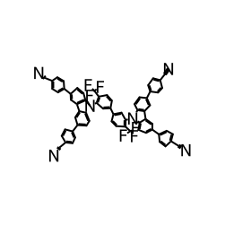 N#Cc1ccc(-c2ccc3c(c2)c2cc(-c4ccc(C#N)cc4)ccc2n3-c2cc(-c3ccc(C(F)(F)F)c(-n4c5ccc(-c6ccc(C#N)cc6)cc5c5cc(-c6ccc(C#N)cc6)ccc54)c3)ccc2C(F)(F)F)cc1